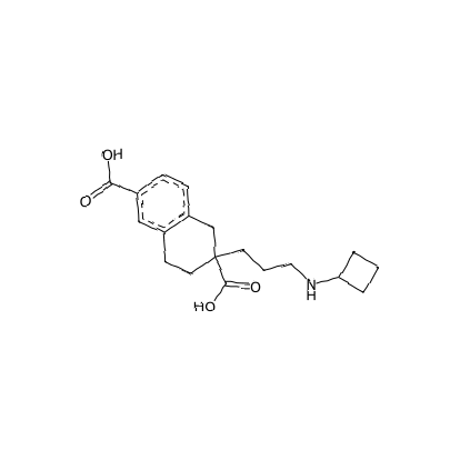 O=C(O)c1ccc2c(c1)CCC(CCCNC1CCC1)(C(=O)O)C2